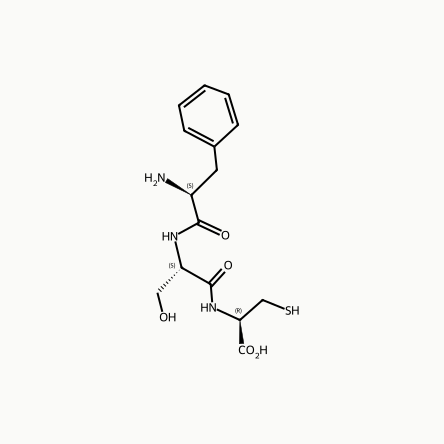 N[C@@H](Cc1ccccc1)C(=O)N[C@@H](CO)C(=O)N[C@@H](CS)C(=O)O